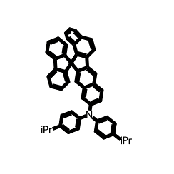 CC(C)c1ccc(N(c2ccc(C(C)C)cc2)c2ccc3cc4c(cc3c2)C2(c3ccccc3-c3ccccc32)c2c-4ccc3ccccc23)cc1